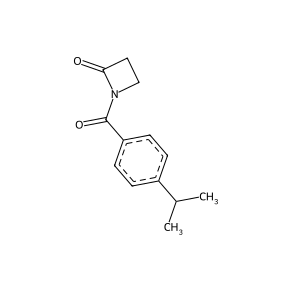 CC(C)c1ccc(C(=O)N2CCC2=O)cc1